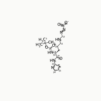 CC(C)(C)OC(=O)N[C@@H](CCCNCN=N[N+](=O)[O-])C(=O)Nc1nccs1